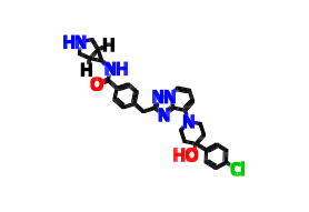 O=C(N[C@H]1[C@@H]2CNC[C@@H]21)c1ccc(Cc2nc3c(N4CCC(O)(c5ccc(Cl)cc5)CC4)cccn3n2)cc1